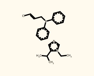 CCn1cncc1C(C)C.ClC=CCB(c1ccccc1)c1ccccc1